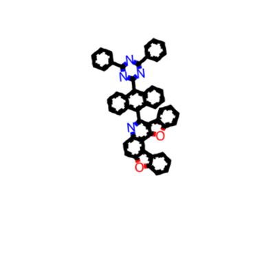 c1ccc(-c2nc(-c3ccccc3)nc(-c3c4ccccc4c(-c4nc5ccc6oc7ccccc7c6c5c5oc6ccccc6c45)c4ccccc34)n2)cc1